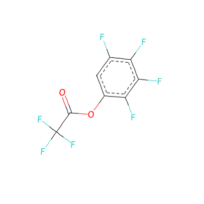 O=C(Oc1cc(F)c(F)c(F)c1F)C(F)(F)F